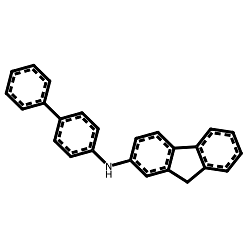 c1ccc(-c2ccc(Nc3ccc4c(c3)Cc3ccccc3-4)cc2)cc1